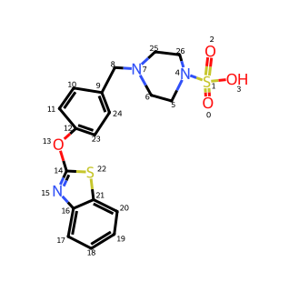 O=S(=O)(O)N1CCN(Cc2ccc(Oc3nc4ccccc4s3)cc2)CC1